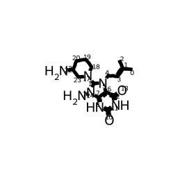 CC(C)=CCN1c2c([nH]c(=O)[nH]c2=O)N(N)C1N1CCCC(N)C1